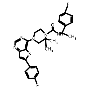 CC(NC(=O)N1CCN(c2ncnc3cc(-c4ccc(F)cc4)sc23)CC1(C)C)c1ccc(F)cc1